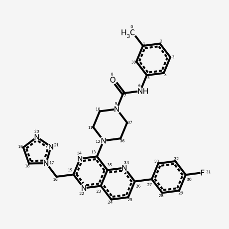 Cc1cccc(NC(=O)N2CCN(c3nc(Cn4ccnn4)nc4ccc(-c5ccc(F)cc5)nc34)CC2)c1